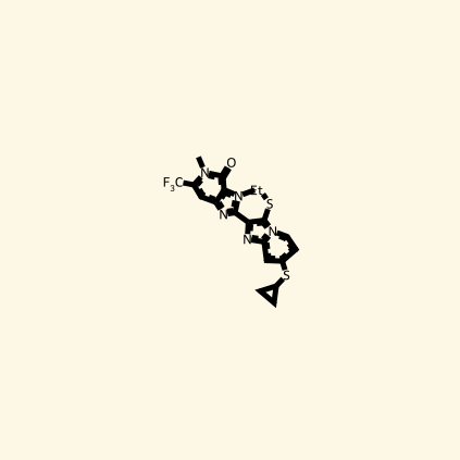 CCSc1c(-c2nc3cc(C(F)(F)F)n(C)c(=O)c3n2C)nc2cc(SC3CC3)ccn12